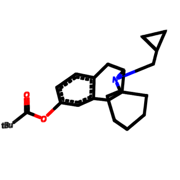 CC(C)(C)C(=O)Oc1ccc2c(c1)C13CCCCC1C(C2)N(CC1CC1)CC3